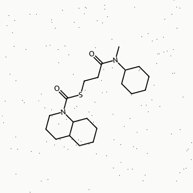 CN(C(=O)CCSC(=O)N1CCCC2CCCCC21)C1CCCCC1